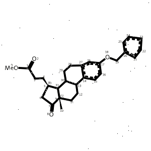 COC(=O)CC[C@@H]1CC(=O)[C@@]2(C)CCC3c4ccc(OCc5ccccc5)cc4CCC3C12